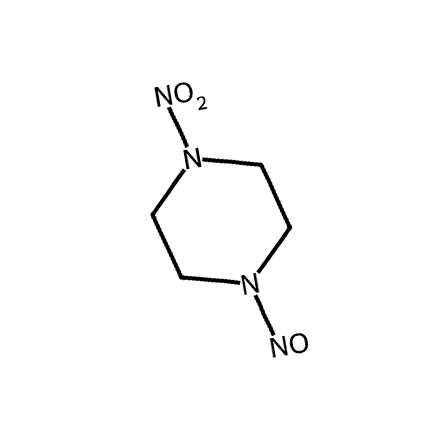 O=NN1CCN([N+](=O)[O-])CC1